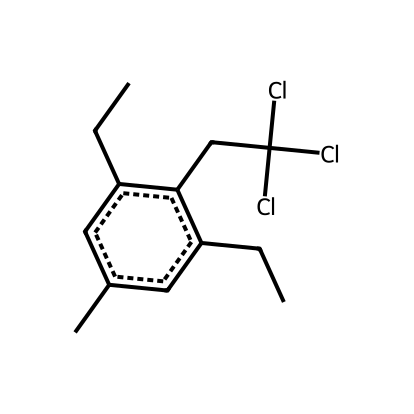 CCc1cc(C)cc(CC)c1CC(Cl)(Cl)Cl